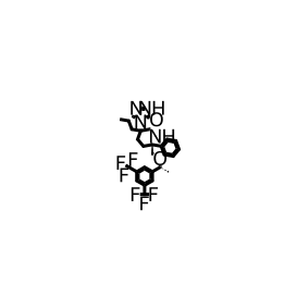 CCCC1(n2cn[nH]c2=O)CC[C@@](CO[C@H](C)c2cc(C(F)(F)F)cc(C(F)(F)F)c2)(c2ccccc2)NC1